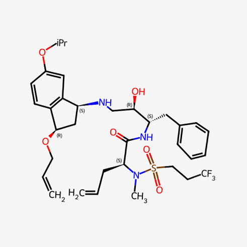 C=CCO[C@@H]1C[C@H](NC[C@@H](O)[C@H](Cc2ccccc2)NC(=O)[C@H](CC=C)N(C)S(=O)(=O)CCC(F)(F)F)c2cc(OC(C)C)ccc21